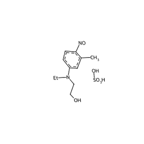 CCN(CCO)c1ccc(N=O)c(C)c1.O=S(=O)(O)O